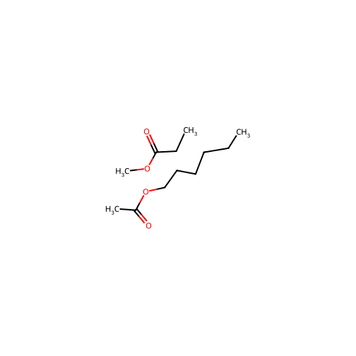 CCC(=O)OC.CCCCCCOC(C)=O